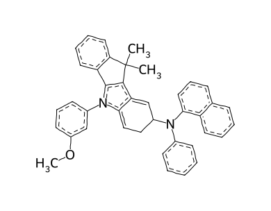 COc1cccc(-n2c3c(c4c2=CCC(N(c2ccccc2)c2cccc5ccccc25)C=4)C(C)(C)c2ccccc2-3)c1